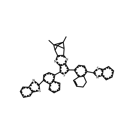 CC12C3c4nc5c(-c6ccc(-c7nc8ccccc8s7)c7c6C=CCC7)sc(-c6ccc(-c7nc8ccccc8s7)c7ccccc67)c5nc4C4C1(C)C342